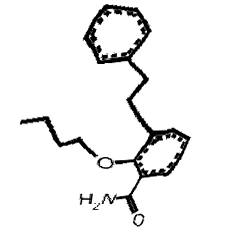 CCCCOc1c(CCc2ccccc2)cccc1C(N)=O